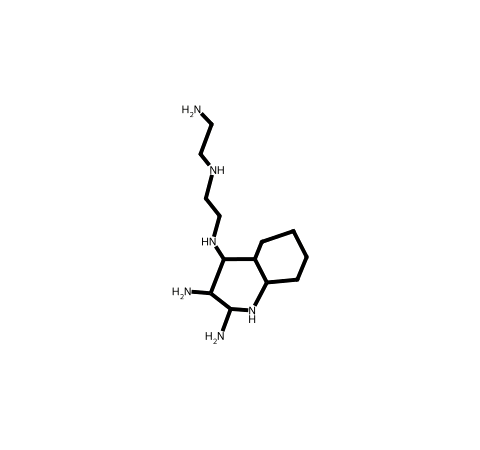 NCCNCCNC1C(N)C(N)NC2CCCCC21